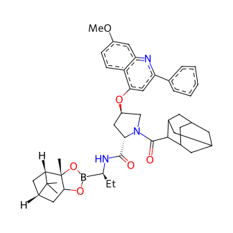 CC[C@H](NC(=O)[C@@H]1C[C@@H](Oc2cc(-c3ccccc3)nc3cc(OC)ccc23)CN1C(=O)C1C2CC3CC(C2)CC1C3)B1OC2C[C@@H]3C[C@@H](C3(C)C)[C@]2(C)O1